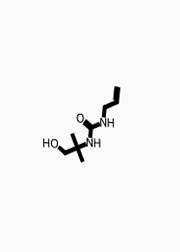 C=CCNC(=O)NC(C)(C)CO